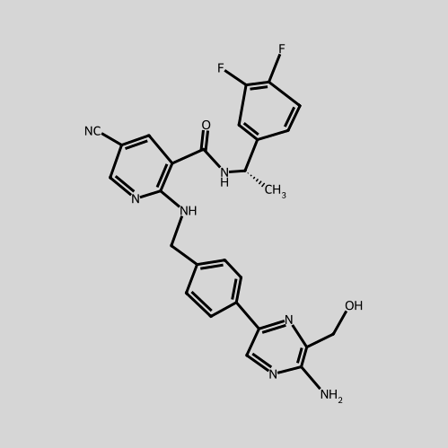 C[C@H](NC(=O)c1cc(C#N)cnc1NCc1ccc(-c2cnc(N)c(CO)n2)cc1)c1ccc(F)c(F)c1